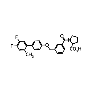 Cc1cc(F)c(F)cc1-c1ccc(OCc2cccc(C(=O)N3CCC[C@H]3C(=O)O)c2)cc1